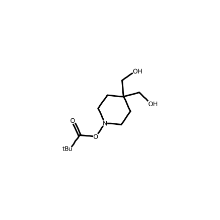 CC(C)(C)C(=O)ON1CCC(CO)(CO)CC1